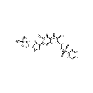 CC(C)(C)[Si](C)(C)OCC1OCC(n2ccc(NC(=O)OCCS(=O)(=O)c3ccccc3)nc2=O)O1